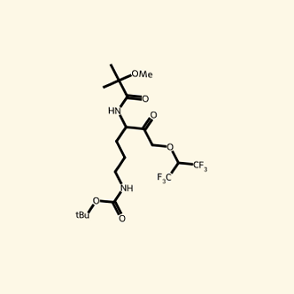 COC(C)(C)C(=O)NC(CCCNC(=O)OC(C)(C)C)C(=O)COC(C(F)(F)F)C(F)(F)F